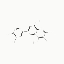 Cc1c(C(=O)O)nc2c(O)cc(-c3ccc(Cl)c(Cl)c3)cc2c1O